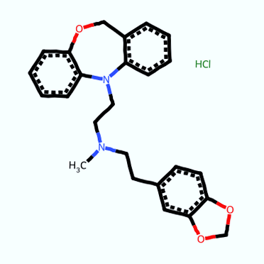 CN(CCc1ccc2c(c1)OCO2)CCN1c2ccccc2COc2ccccc21.Cl